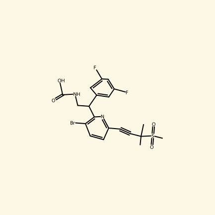 CC(C)(C#Cc1ccc(Br)c(C(CNC(=O)O)c2cc(F)cc(F)c2)n1)S(C)(=O)=O